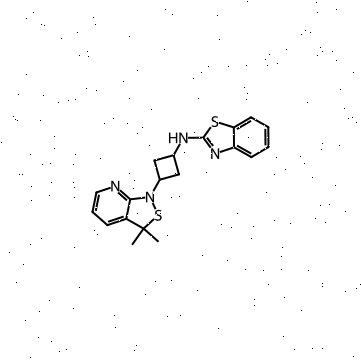 CC1(C)SN(C2CC(Nc3nc4ccccc4s3)C2)c2ncccc21